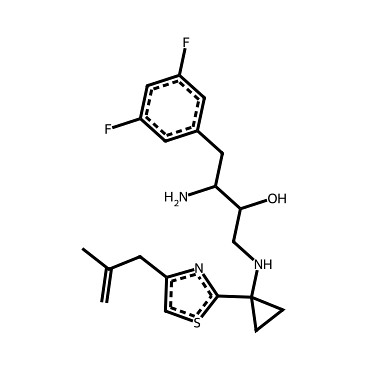 C=C(C)Cc1csc(C2(NCC(O)C(N)Cc3cc(F)cc(F)c3)CC2)n1